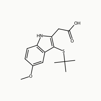 COc1ccc2[nH]c(CC(=O)O)c(SC(C)(C)C)c2c1